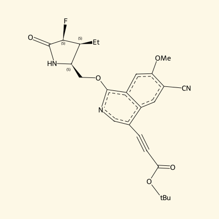 CC[C@@H]1[C@H](F)C(=O)N[C@@H]1COc1ncc(C#CC(=O)OC(C)(C)C)c2cc(C#N)c(OC)cc12